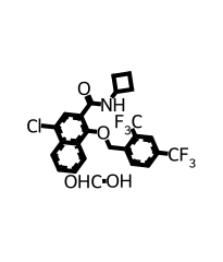 O=C(NC1CCC1)c1cc(Cl)c2ccccc2c1OCc1ccc(C(F)(F)F)cc1C(F)(F)F.O=CO